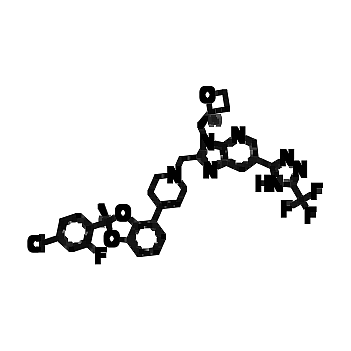 C[C@]1(c2ccc(Cl)cc2F)Oc2cccc(C3=CCN(Cc4nc5cc(-c6nnc(C(F)(F)F)[nH]6)cnc5n4C[C@@H]4CCO4)CC3)c2O1